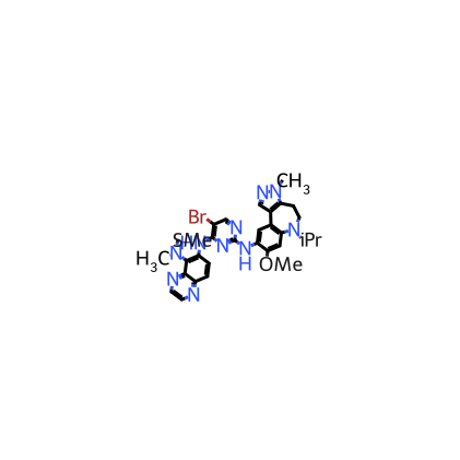 COc1cc2c(cc1Nc1ncc(Br)c(Nc3ccc4nccnc4c3N(C)SC)n1)-c1cnn(C)c1CCN2C(C)C